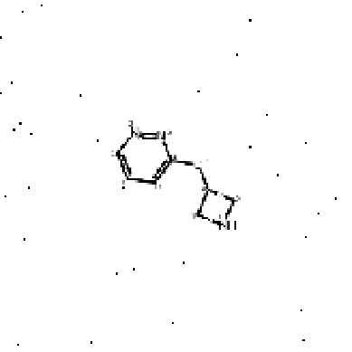 c1cnnc(OC2CNC2)c1